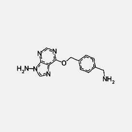 NCc1ccc(COc2ncnc3c2ncn3N)cc1